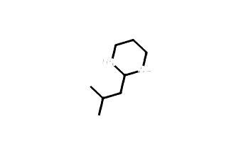 CC(C)[CH]C1NCCCN1